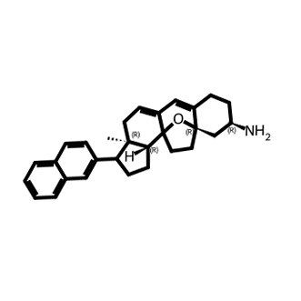 C[C@]12CC=C3C=C4CC[C@@H](N)C[C@]45CCC3(O5)[C@@H]1CCC2c1ccc2ccccc2c1